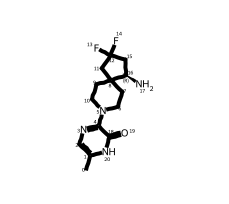 Cc1cnc(N2CCC3(CC2)CC(F)(F)C[C@H]3N)c(=O)[nH]1